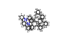 c1ccc(-n2c3ccccc3c3ccc4c5ccccc5n(-c5cccc6c5-c5ccccc5C5CC78CC(CC9%10CC(Cc%11ccccc%11-c%11ccccc%119)CC6(C5)C%107)c5ccccc5-c5ccccc58)c4c32)cc1